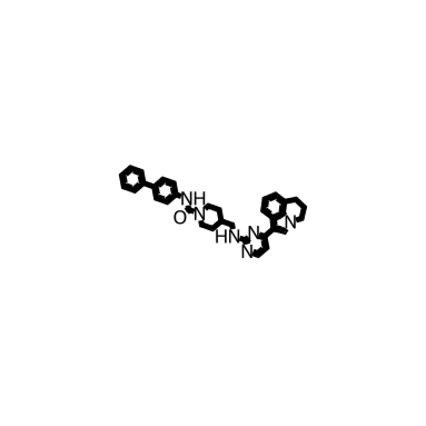 O=C(Nc1ccc(-c2ccccc2)cc1)N1CCC(CNc2nccc(-c3cn4c5c(cccc35)CCC4)n2)CC1